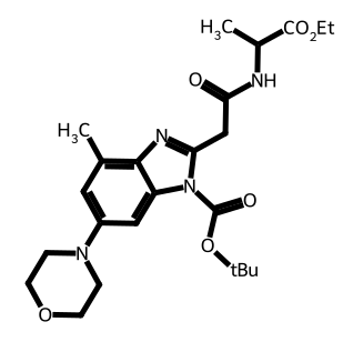 CCOC(=O)C(C)NC(=O)Cc1nc2c(C)cc(N3CCOCC3)cc2n1C(=O)OC(C)(C)C